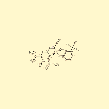 CC(C)c1cc(/C=C(/C#N)S(=O)(=O)Cc2cccc(C(F)(F)F)c2)cc(C(C)C)c1O